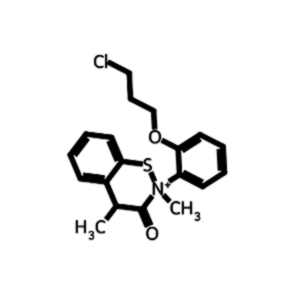 CC1C(=O)[N+](C)(c2ccccc2OCCCCl)Sc2ccccc21